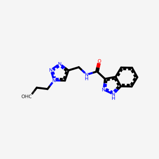 O=CCCn1cc(CNC(=O)c2n[nH]c3ccccc23)nn1